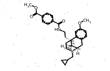 COC(=O)c1ccc(C(=O)NCC[C@]23CCN(CC4CC4)[C@H](Cc4ccc(OC)cc42)[C@@H]3C)cc1